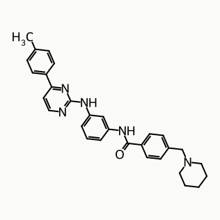 Cc1ccc(-c2ccnc(Nc3cccc(NC(=O)c4ccc(CN5CCCCC5)cc4)c3)n2)cc1